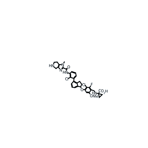 COc1cc(OC2CCc3c(-c4cccc(NC(=O)c5nc6c(n5C)CCNC6)c4Cl)cccc32)c(Cl)c(F)c1CNC1(C(=O)O)CC1